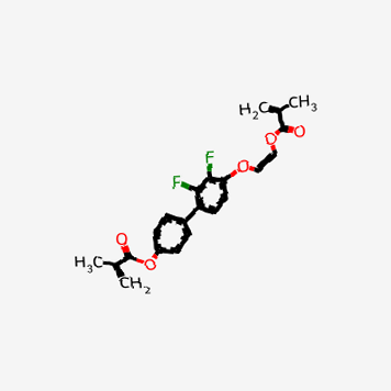 C=C(C)C(=O)O/C=C\Oc1ccc(-c2ccc(OC(=O)C(=C)C)cc2)c(F)c1F